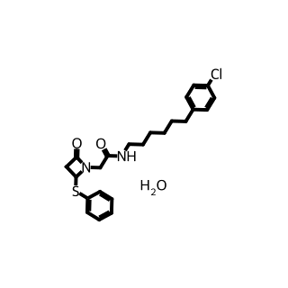 O.O=C(CN1C(=O)CC1Sc1ccccc1)NCCCCCCc1ccc(Cl)cc1